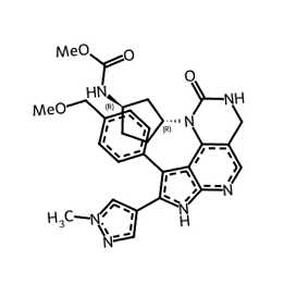 COCc1ccc(-c2c(-c3cnn(C)c3)[nH]c3ncc4c(c23)N([C@@H]2CC[C@@H](NC(=O)OC)C2)C(=O)NC4)cc1